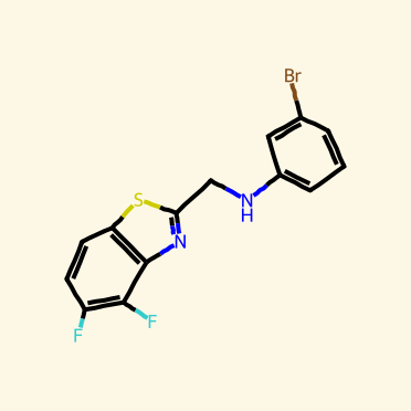 Fc1ccc2sc(CNc3cccc(Br)c3)nc2c1F